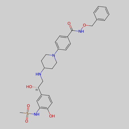 CS(=O)(=O)Nc1cc([C@H](O)CNC2CCN(c3ccc(C(=O)NOCc4ccccc4)cc3)CC2)ccc1O